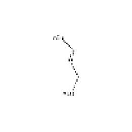 CCCCC=CCOC(C)=O